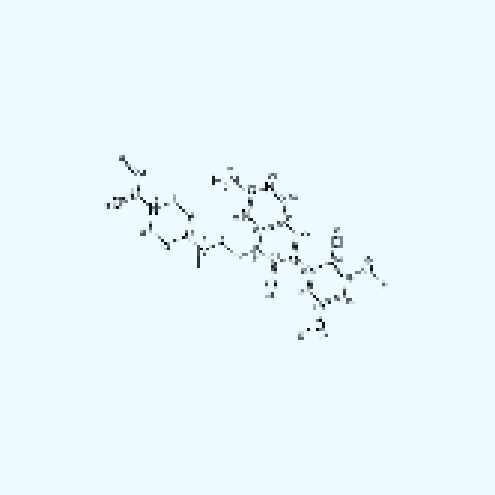 C=CC(=O)N1CCC(NCCn2c(=O)c(-c3cc(OC)cc(OC)c3Cl)cc3cnc(N)nc32)CC1